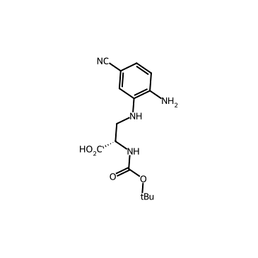 CC(C)(C)OC(=O)N[C@@H](CNc1cc(C#N)ccc1N)C(=O)O